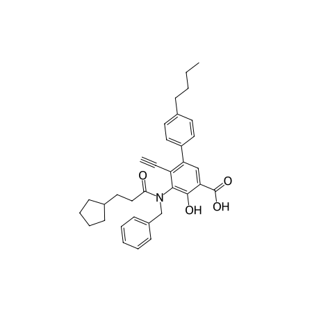 C#Cc1c(-c2ccc(CCCC)cc2)cc(C(=O)O)c(O)c1N(Cc1ccccc1)C(=O)CCC1CCCC1